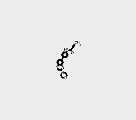 CC#CC(=O)Nc1ccc(-c2ccc3ncc(N4CCOCC4)nc3c2)cc1